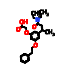 CCN(CC)C(=O)/C=C(/C)c1cc(OCCc2ccccc2)cc(OCC(=O)O)c1